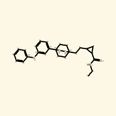 CCNC(=O)C1CC1CCC12CCC(c3cccc(Oc4ccccc4)c3)(CC1)OC2